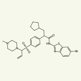 C=CC(N1CCN(C)CC1)S(=O)(=O)c1ccc(C(CC2CCCC2)C(=O)Nc2nc3ccc(Br)cc3s2)cc1